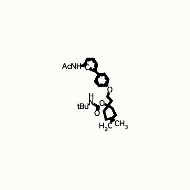 CC(=O)Nc1cccc(-c2ccc(OCCC3(OC(=O)NC(C)(C)C)CCC(C)(C)CC3)cc2)c1